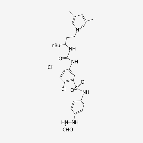 CCCCC(CC[n+]1cc(C)cc(C)c1)NC(=O)Nc1ccc(Cl)c(S(=O)(=O)Nc2ccc(NNC=O)cc2)c1.[Cl-]